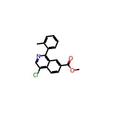 COC(=O)c1ccc2c(Cl)cnc(-c3ccccc3C)c2c1